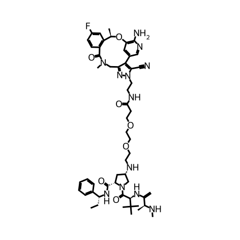 C=C(N[C@H](C(=O)N1C[C@@H](NCCOCCOCCC(=O)NCCn2nc3c(c2C#N)-c2cnc(N)c(c2)O[C@H](C)c2cc(F)ccc2C(=O)N(C)C3)C[C@H]1C(=O)N[C@H](CC)c1ccccc1)C(C)(C)C)[C@H](C)NC